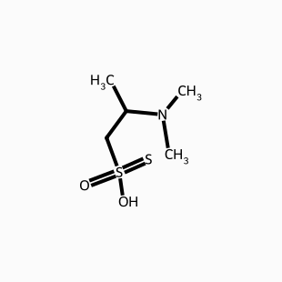 CC(CS(=O)(O)=S)N(C)C